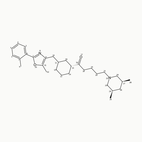 Cc1ccccc1-c1nc(CC2CCC[C@@H](C(=O)CCCCN3C[C@H](C)C[C@H](C)C3)C2)c(C)o1